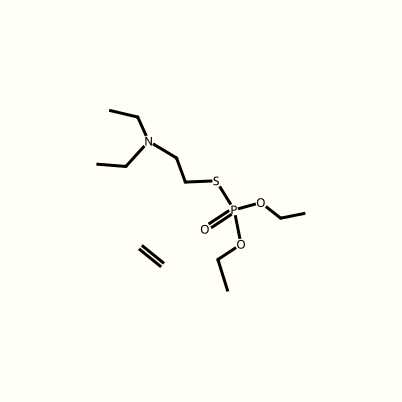 C=C.CCOP(=O)(OCC)SCCN(CC)CC